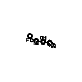 Oc1cc(-c2ccc3cncn3c2)ccc1-c1ccc(O[C@H]2CCCC[C@H]2F)nn1